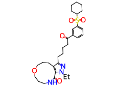 CCn1nc(CCCCC(=O)c2cccc(S(=O)(=O)C3CCCCC3)c2)c2c1C(=O)NCCCOCCC2